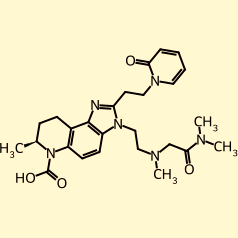 C[C@H]1CCc2c(ccc3c2nc(CCn2ccccc2=O)n3CCN(C)CC(=O)N(C)C)N1C(=O)O